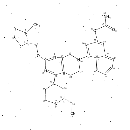 CN1CCC[C@H]1COc1nc2c(c(N3CCN[C@@H](CC#N)C3)n1)CCN(c1nc(OC(N)=O)cc3ccccc13)C2